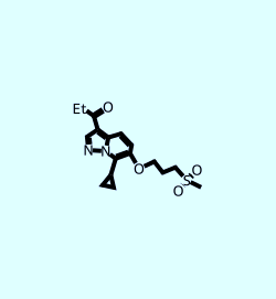 CCC(=O)c1cnn2c(C3CC3)c(OCCCS(C)(=O)=O)ccc12